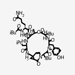 CCC(C)C(=O)N[C@@H](CCCC(N)=O)C(=O)N[C@@H]1C(=O)NC(CC(C)C)C(=O)NC23C=CN(C(=O)C2[C@@H]3C)C(C(C)CC)C(=O)N(C)C(Cc2ccc(O)cc2)C(=O)N[C@@H](C(C)CC)C(=O)OC1C